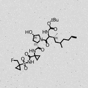 C=CCCC(C)C[C@@H](C)C(NC(=O)OC(C)(C)C)C(=O)N1C[C@H](O)C[C@H]1C(=O)NC1(C(=O)NS(=O)(=O)C2(CF)CC2)CC1